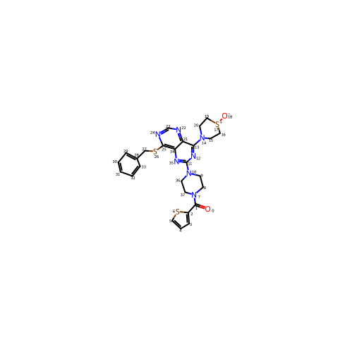 O=C(c1cccs1)N1CCN(c2nc(N3CC[S+]([O-])CC3)c3ncnc(SCc4ccccc4)c3n2)CC1